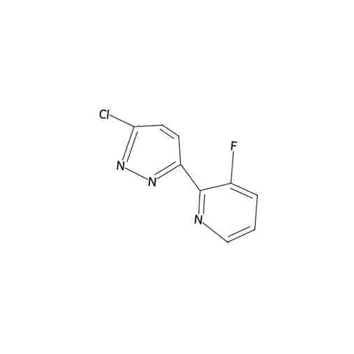 Fc1cccnc1-c1ccc(Cl)nn1